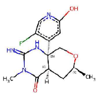 C[C@H]1C[C@H]2C(=O)N(C)C(=N)N[C@@]2(c2cc(O)ncc2F)CO1